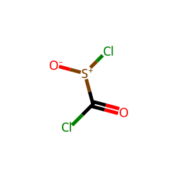 O=C(Cl)[S+]([O-])Cl